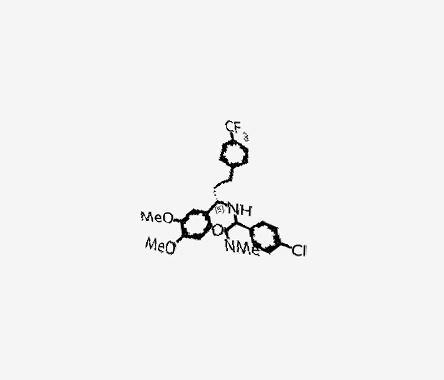 CNC(=O)C(N[C@@H](CCc1ccc(C(F)(F)F)cc1)c1ccc(OC)c(OC)c1)c1ccc(Cl)cc1